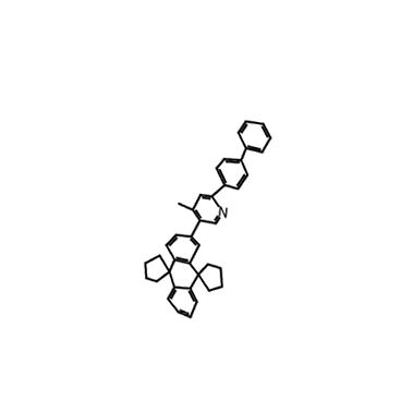 Cc1cc(-c2ccc(-c3ccccc3)cc2)ncc1-c1ccc2c(c1)C1(CCCC1)c1ccccc1C21CCCC1